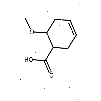 COC1CC=CCC1C(=O)O